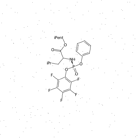 CCCC(C)OC(=O)C(CC(C)C)N[P@](=O)(Oc1ccccc1)Oc1c(F)c(F)c(F)c(F)c1F